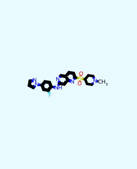 CN1CCC(S(=O)(=O)c2ccc3cnc(Nc4ccc(-n5cccn5)cc4F)cc3n2)CC1